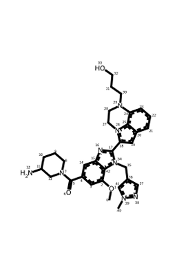 COc1cc(C(=O)N2CCCC(N)C2)cc2nc(-c3cc4cccc5c4n3CCN5CCCO)n(Cc3cnn(C)c3)c12